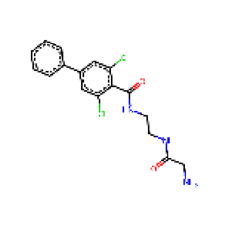 NCC(=O)NCCNC(=O)c1c(Cl)cc(-c2ccccc2)cc1Cl